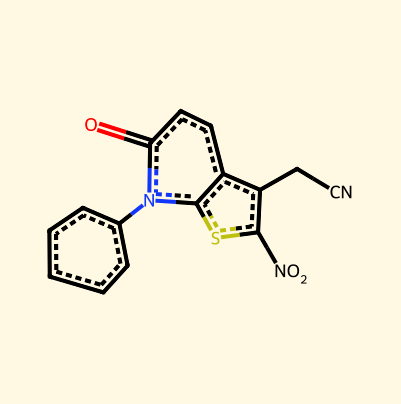 N#CCc1c([N+](=O)[O-])sc2c1ccc(=O)n2-c1ccccc1